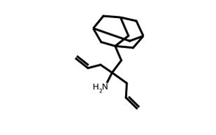 C=CCC(N)(CC=C)CC12CC3CC(CC(C3)C1)C2